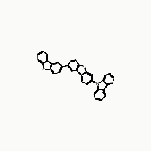 c1ccc2c(c1)oc1ccc(-c3ccc4oc5cc(-n6c7ccccc7c7ccccc76)ccc5c4c3)cc12